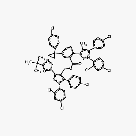 Cc1c(-c2ccc(C3(c4ccc(Cl)cc4)CC3)cc2C(=O)OCc2c(-c3nnc(C(C)(C)C)o3)nn(-c3ccc(Cl)cc3Cl)c2-c2ccc(Cl)cc2)nn(-c2ccc(Cl)cc2Cl)c1-c1ccc(Cl)cc1